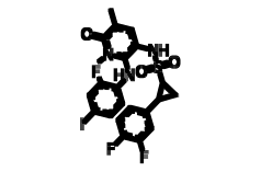 Cc1cc(NS(=O)(=O)C2CC2c2ccc(F)c(F)c2)c(Nc2ccc(I)cc2F)n(C)c1=O